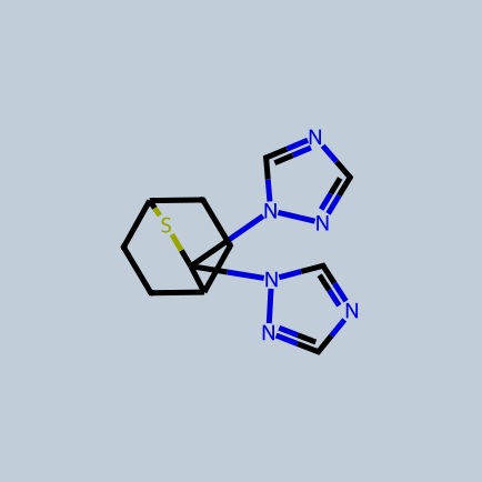 c1ncn(C2(n3cncn3)SC3CCC2CC3)n1